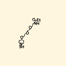 CCC(=O)NCCOCCOCCOC1CCN(S)CC1